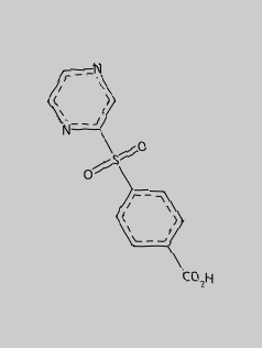 O=C(O)c1ccc(S(=O)(=O)c2cnccn2)cc1